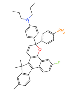 CCCN(CCC)c1ccc(C2(c3ccc(P)cc3)C=Cc3c4c(c5ccc(F)cc5c3O2)-c2ccc(C)cc2C4(C)C)cc1